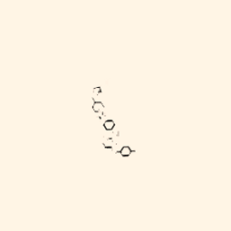 O=S(=O)(c1ccc(Nc2ncc(F)c(Nc3ccc(F)cc3)n2)cc1)N1CCC(CN2CC(O)C2)CC1